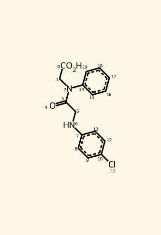 O=C(O)CN(C(=O)CNc1ccc(Cl)cc1)c1ccccc1